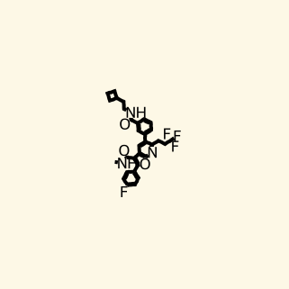 CNC(=O)c1c(-c2ccc(F)cc2)oc2nc(CCC(F)(F)F)c(-c3cccc(C(=O)NCCC4CCC4)c3)cc12